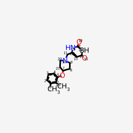 Cc1cccc(OC2CCN(CC3=CC(=O)BC(=O)N3)CC2)c1C